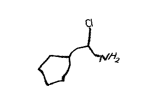 NC(Cl)C1CCCC1